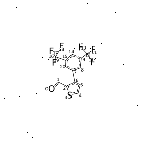 O=Cc1sccc1-c1cc(C(F)(F)F)cc(C(F)(F)F)c1